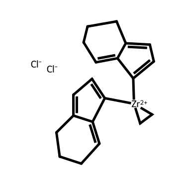 C1=C2CCCC=C2[C]([Zr+2]2([C]3=CC=C4CCCC=C43)[CH2][CH2]2)=C1.[Cl-].[Cl-]